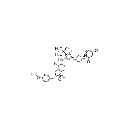 COc1ccc(CN2Cc3c(ccc(Nc4cc([C@@H]5CC[C@H](n6ncc(Cl)cc6=O)C5)nn4C(C)(C)C)c3F)S2(=O)=O)cc1